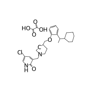 CC(c1ccccc1OCC1CCN(Cc2cc(Cl)c[nH]c2=O)CC1)C1CCCCC1.O=C(O)C(=O)O